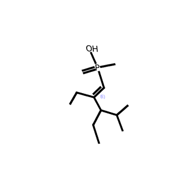 C=P(C)(O)/C=C(\CC)C(CC)C(C)C